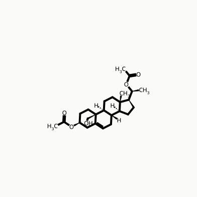 CC(=O)O[C@H]1CC[C@@]2(CO)C(=CC[C@@H]3[C@@H]2CC[C@]2(C)[C@@H]([C@H](C)OC(C)=O)CC[C@@H]32)C1